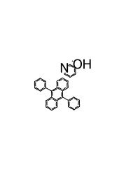 CO.c1ccc(-c2c3ccccc3c(-c3ccccc3)c3ccccc23)cc1.c1ccncc1